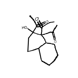 CC(=O)C1(O)CCC2CCCCC2C1(C(C)=O)C(C)=O